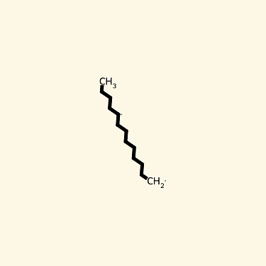 [CH2]CCCCCCC[CH]CCCC